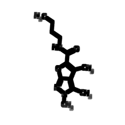 CCCCNC(=O)c1oc2nn(C)c(C)c2c1C